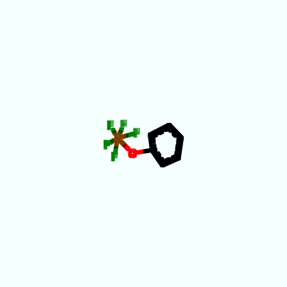 FS(F)(F)(F)(F)Oc1ccccc1